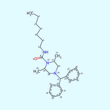 CCCCCCCNC(=O)N1C(C)CN(C(c2ccccc2)c2ccccc2)CC1C